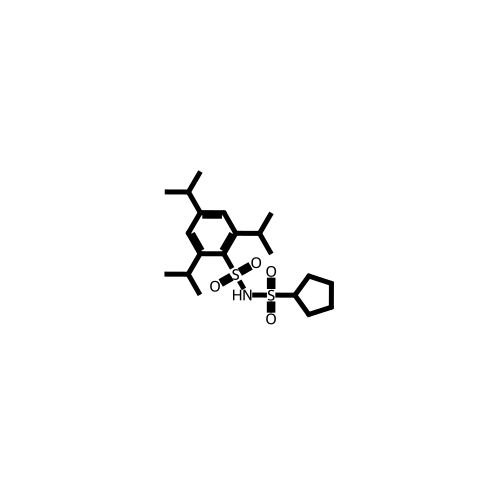 CC(C)c1cc(C(C)C)c(S(=O)(=O)NS(=O)(=O)C2CCCC2)c(C(C)C)c1